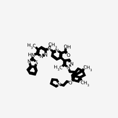 Cc1cc(N(C)c2ccc(-c3cnn(CC45CC6(C)CC(C)(C4)CC(OCCN4CCCC4)(C6)C5)c3C)c(C(=O)O)n2)nnc1Nc1nc2ccccc2s1